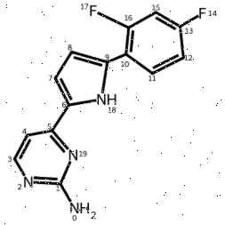 Nc1nccc(-c2ccc(-c3ccc(F)cc3F)[nH]2)n1